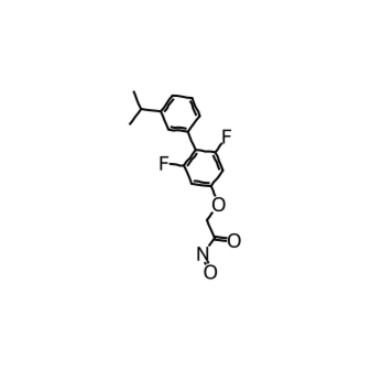 CC(C)c1cccc(-c2c(F)cc(OCC(=O)N=O)cc2F)c1